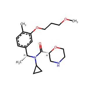 COCCCOc1cc([C@@H](C)N(C(=O)[C@H]2CNCCO2)C2CC2)ccc1C